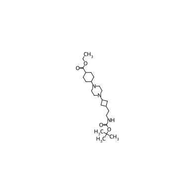 CCOC(=O)C1CCC(N2CCN(C3CC(CCNC(=O)OC(C)(C)C)C3)CC2)CC1